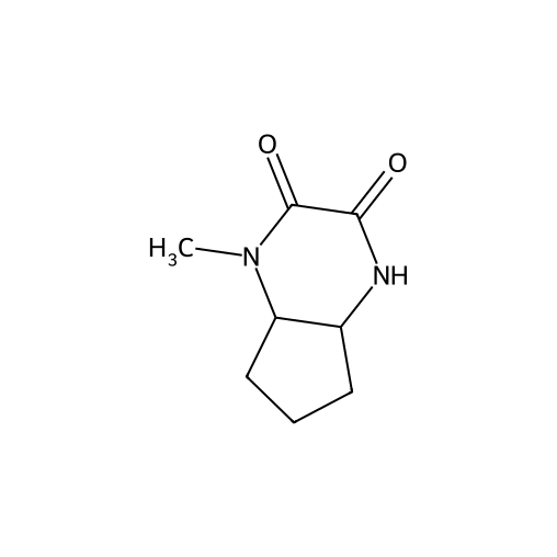 CN1C(=O)C(=O)NC2CCCC21